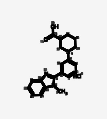 Cl.Cn1c(-c2cccc(N3CCCC(C(=O)O)C3)c2)nc2ccccc21